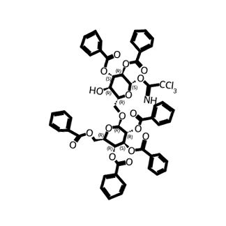 N=C(O[C@@H]1O[C@H](CO[C@@H]2O[C@H](COC(=O)c3ccccc3)[C@@H](OC(=O)c3ccccc3)[C@H](OC(=O)c3ccccc3)[C@H]2OC(=O)c2ccccc2)[C@@H](O)[C@H](OC(=O)c2ccccc2)[C@H]1OC(=O)c1ccccc1)C(Cl)(Cl)Cl